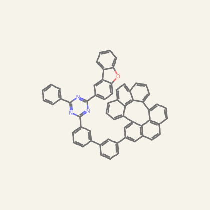 c1ccc(-c2nc(-c3cccc(-c4cccc(-c5cc6ccc7cccc8c9cccc%10ccc%11cccc(c(c5)c6c78)c%11c%109)c4)c3)nc(-c3ccc4oc5ccccc5c4c3)n2)cc1